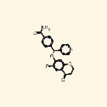 NC(=O)c1ccc([C@@H](Oc2cc3c(cc2F)C(=O)CCO3)c2ccncc2)cc1